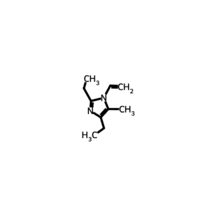 C=Cn1c(CC)nc(CC)c1C